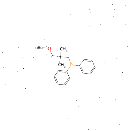 CCCCOCC(C)(C)CP(c1ccccc1)c1ccccc1